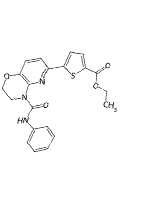 CCOC(=O)c1ccc(-c2ccc3c(n2)N(C(=O)Nc2ccccc2)CCO3)s1